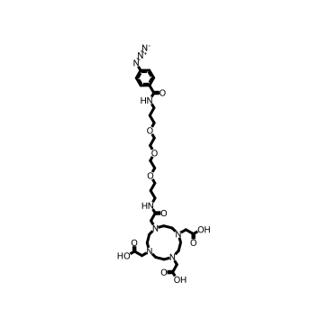 [N-]=[N+]=Nc1ccc(C(=O)NCCCOCCOCCOCCCNC(=O)CN2CCN(CC(=O)O)CCN(CC(=O)O)CCN(CC(=O)O)CC2)cc1